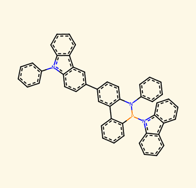 c1ccc(N2c3ccc(-c4ccc5c(c4)c4ccccc4n5-c4ccccc4)cc3-c3ccccc3P2n2c3ccccc3c3ccccc32)cc1